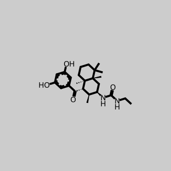 CCNC(=O)N[C@@H]1C[C@@]2(C)C(C)(C)CCC[C@]2(C)[C@@H](C(=O)c2cc(O)cc(O)c2)[C@@H]1C